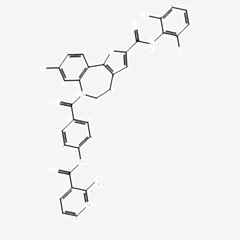 O=C(Nc1c(F)cccc1F)c1cc2c(s1)-c1ccc(F)cc1N(C(=O)c1ccc(NC(=O)c3cccnc3Cl)cc1)CC2